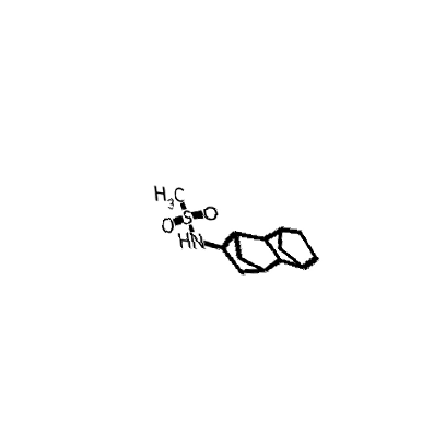 CS(=O)(=O)NC1CC2CC1C1C3CCC(C3)C21